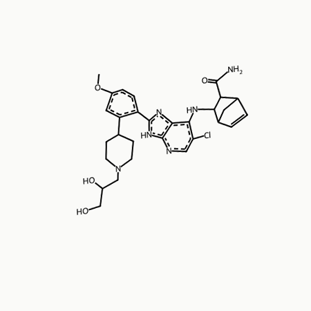 COc1ccc(-c2nc3c(NC4C5C=CC(C5)C4C(N)=O)c(Cl)cnc3[nH]2)c(C2CCN(CC(O)CO)CC2)c1